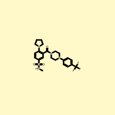 CNS(=O)(=O)c1ccc(N2CCCC2)c(C(=O)N2CCN(c3ccc(C(F)(F)F)cc3)CC2)c1